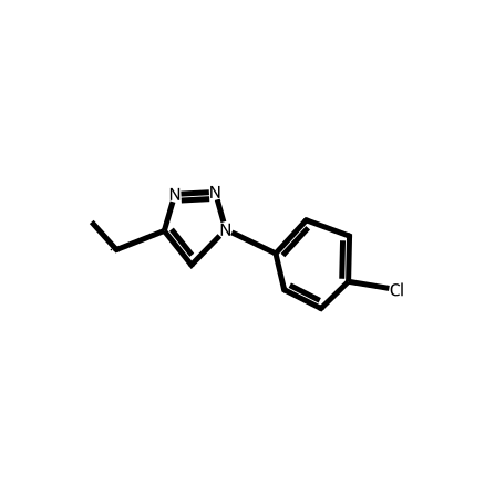 C[CH]c1cn(-c2ccc(Cl)cc2)nn1